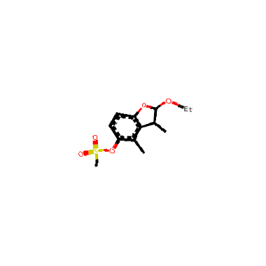 CCOC1Oc2ccc(OS(C)(=O)=O)c(C)c2C1C